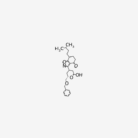 CC(C)CCC1CCC(=O)c2c(C(CCCOCc3ccccc3)CC(=O)O)noc21